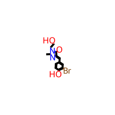 CC1=N/C(=C\c2ccc(O)c(Br)c2)C(=O)N1CCO